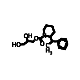 CC(c1ccccc1)C1CCCCN1C(=O)OCC(O)CO